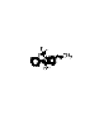 CCCc1ccc2cc(C3CCCCC3)[s+](C(F)(F)F)c2c1.[Br-]